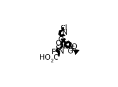 CC(Oc1ccc(Cl)nc1)(C(=O)Nc1nc(CC(=O)O)c(F)s1)c1ccc(S(=O)(=O)C2CC2)cc1